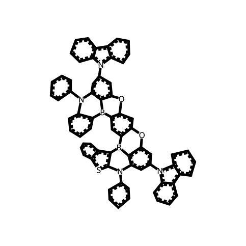 c1ccc(N2c3ccccc3B3c4cc5c(cc4Oc4cc(-n6c7ccccc7c7ccccc76)cc2c43)Oc2cc(-n3c4ccccc4c4ccccc43)cc3c2B5c2c(sc4ccccc24)N3c2ccccc2)cc1